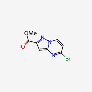 COC(=O)c1cc2nc(Br)ccn2n1